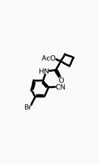 CC(=O)OC1(C(=O)Nc2ccc(Br)cc2C#N)CCC1